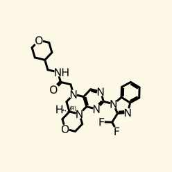 O=C(CN1C[C@@H]2COCCN2c2nc(-n3c(C(F)F)nc4ccccc43)ncc21)NCC1CCOCC1